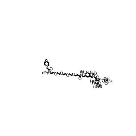 CCCN(CCOCCOCCOCCOCCC(=O)NCCCc1cn([C@@H]2O[C@H](COP(=O)(O)O)C(OP(=O)(O)O)[C@@H]2O)c(=O)nc1N)C(=O)CN1CCN(C)CC1